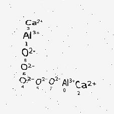 [Al+3].[Al+3].[Ca+2].[Ca+2].[O-2].[O-2].[O-2].[O-2].[O-2]